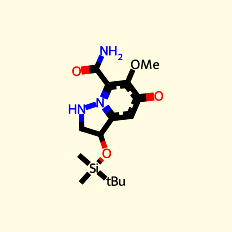 COc1c(C(N)=O)n2c(cc1=O)C(O[Si](C)(C)C(C)(C)C)CN2